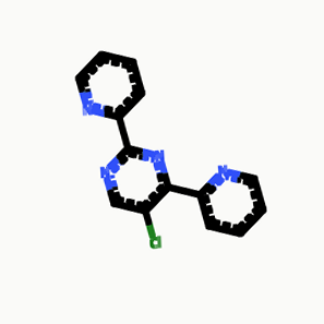 Clc1cnc(-c2ccccn2)nc1-c1ccccn1